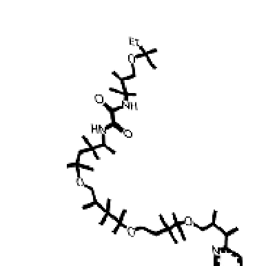 CCC(C)(C)OCC(C)C(C)(C)NC(=O)C(=O)NC(C)C(C)(C)CC(C)(C)OCC(C)C(C)(C)C(C)(C)OCCC(C)(C)C(C)(C)OCC(C)C(C)c1ccccn1